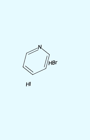 Br.I.c1ccncc1